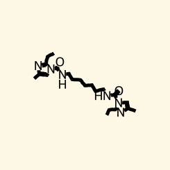 CCc1nc(C)cn1C(=O)NCCCCCCCNC(=O)n1cc(C)nc1CC